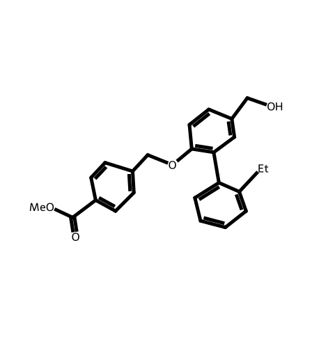 CCc1ccccc1-c1cc(CO)ccc1OCc1ccc(C(=O)OC)cc1